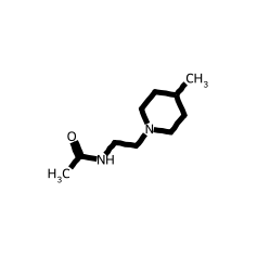 CC(=O)NCCN1CCC(C)CC1